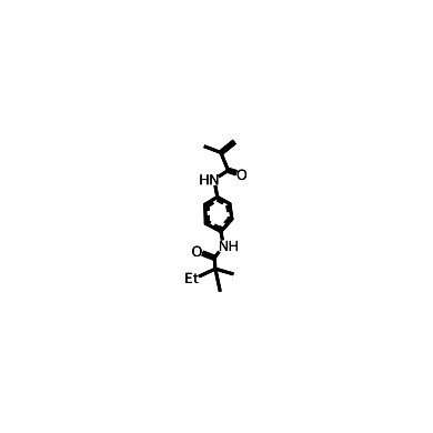 C=C(C)C(=O)Nc1ccc(NC(=O)C(C)(C)CC)cc1